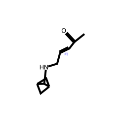 CC(=O)/C=C/CNC1C2CC1C2